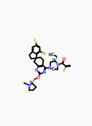 C=C(F)C(=O)N1CCN(c2nc(OC[C@@H]3CCCN3C)nc3c2CCC2(CCc4cc(F)cc(F)c42)C3)C[C@@H]1CC#N